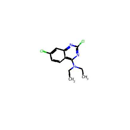 CCN(CC)c1nc(Cl)nc2cc(Cl)ccc12